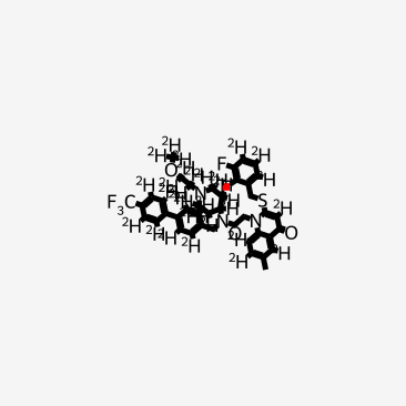 [2H]c1c([2H])c(F)c(F)c(CSc2c([2H])c(=O)c3c([2H])c(C)c([2H])c([2H])c3n2CC(=O)N(Cc2c([2H])c([2H])c(-c3c([2H])c([2H])c(C(F)(F)F)c([2H])c3[2H])c([2H])c2[2H])C2([2H])C([2H])([2H])C([2H])([2H])N(C([2H])([2H])C([2H])([2H])OC([2H])([2H])[2H])C([2H])([2H])C2([2H])[2H])c1[2H]